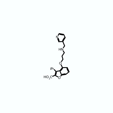 CC(C)c1c(C(=O)O)oc2cccc(OCCCNCc3cccnc3)c12